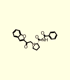 O=C(NC(=O)[C@@H]1CCCN1CC(=O)c1cc2ccccc2o1)c1ccccc1